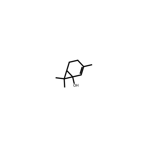 CC1=CC2(O)C(CC1)C2(C)C